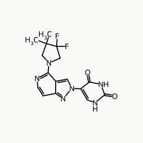 CC1(C)CN(c2nccc3nn(-c4c[nH]c(=O)[nH]c4=O)cc23)CC1(F)F